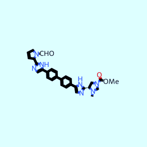 COC(=O)N1C[C@@H](c2ncc(-c3ccc(-c4ccc(-c5cnc(C6C=CCN6C=O)[nH]5)cc4)cc3)[nH]2)N(C)C1